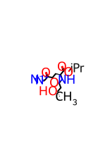 CC(C)OC(=O)[C@H](CCC(=O)C=[N+]=[N-])NC(=O)C[C@H](C)O